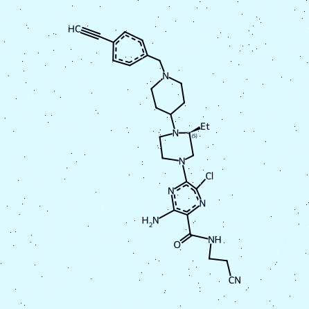 C#Cc1ccc(CN2CCC(N3CCN(c4nc(N)c(C(=O)NCCC#N)nc4Cl)C[C@@H]3CC)CC2)cc1